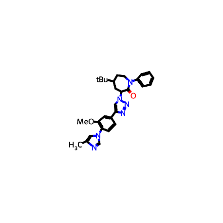 COc1cc(-c2cn(C3CC(C(C)(C)C)CCN(c4ccccc4)C3=O)nn2)ccc1-n1cnc(C)c1